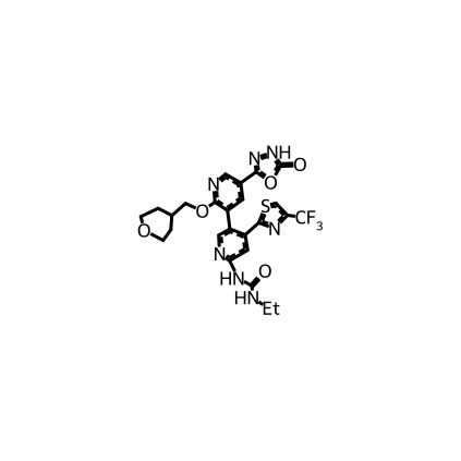 CCNC(=O)Nc1cc(-c2nc(C(F)(F)F)cs2)c(-c2cc(-c3n[nH]c(=O)o3)cnc2OCC2CCOCC2)cn1